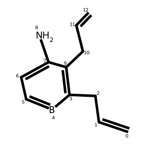 C=CCc1bccc(N)c1CC=C